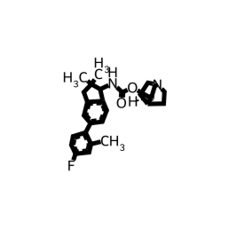 Cc1cc(F)ccc1-c1ccc2c(c1)CC(C)(C)C2NC(=O)O[C@H]1CN2CCC1CC2